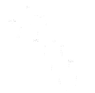 NC(=O)c1c(Br)csc1NC(=O)CC1Cc2ccccc2NC1=O